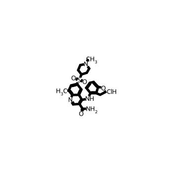 Cc1cc(S(=O)(=O)C2CCN(C)CC2)cc2c(Nc3cccc4c3CCO4)c(C(N)=O)cnc12.Cl